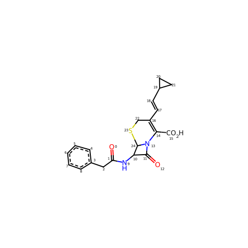 O=C(Cc1ccccc1)NC1C(=O)N2C(C(=O)O)=C(/C=C/C3CC3)CSC12